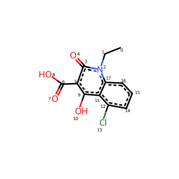 CCn1c(=O)c(C(=O)O)c(O)c2c(Cl)cccc21